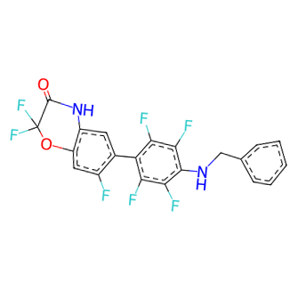 O=C1Nc2cc(-c3c(F)c(F)c(NCc4ccccc4)c(F)c3F)c(F)cc2OC1(F)F